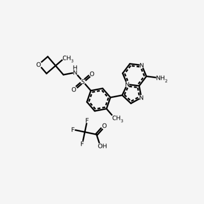 Cc1ccc(S(=O)(=O)NCC2(C)COC2)cc1-c1cnc2c(N)nccn12.O=C(O)C(F)(F)F